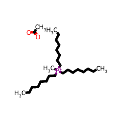 CC(=O)[O-].CCCCCCCC[P+](C)(CCCCCCCC)CCCCCCCC